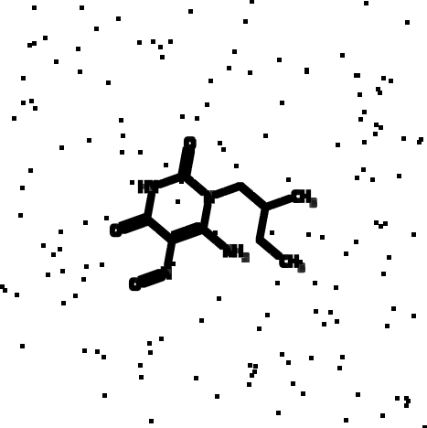 CCC(C)Cn1c(N)c(N=O)c(=O)[nH]c1=O